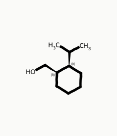 CC(C)[C@H]1CCCC[C@H]1CO